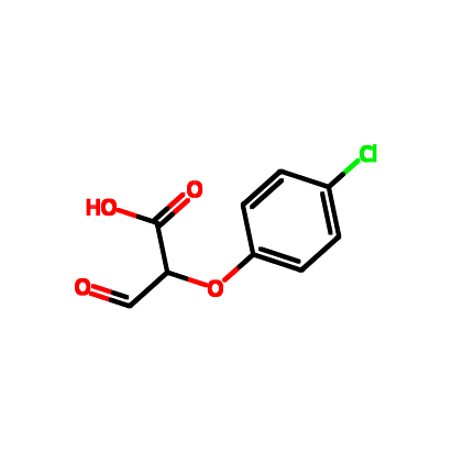 O=CC(Oc1ccc(Cl)cc1)C(=O)O